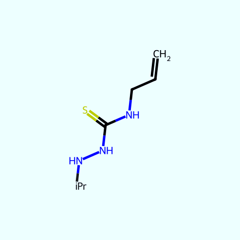 C=CCNC(=S)NNC(C)C